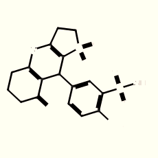 Cc1ccc(C2C3=C(CCCC3=O)NC3=C2S(=O)(=O)CC3)cc1S(N)(=O)=O